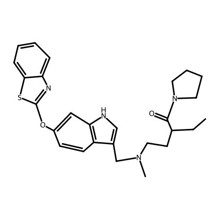 CCC(CCN(C)Cc1c[nH]c2cc(Oc3nc4ccccc4s3)ccc12)C(=O)N1CCCC1